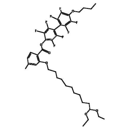 CCCCOc1c(F)c(F)c(-c2c(F)c(F)c(OC(=O)c3ccc(C)cc3OCCCCCCCCCCC(OCC)OCC)c(F)c2F)c(F)c1F